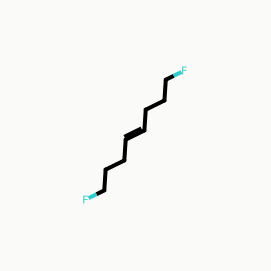 FCCCC=CCCCF